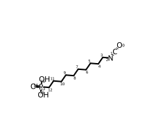 O=C=NCCCCCCCCCCP(=O)(O)O